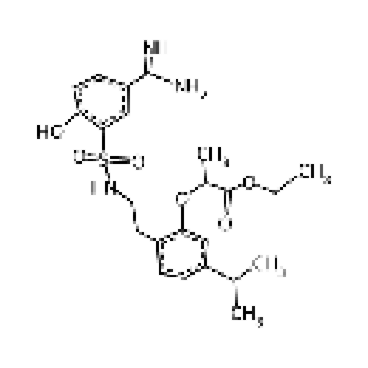 CCOC(=O)C(C)Oc1cc(C(C)C)ccc1CCNS(=O)(=O)c1cc(C(=N)N)ccc1O